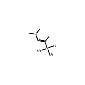 CCC[Si](CC)(CCC)C(C)=CN(C)C